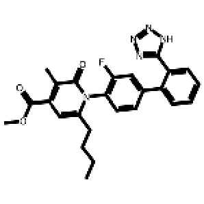 CCCCc1cc(C(=O)OC)c(C)c(=O)n1-c1ccc(-c2ccccc2-c2nnn[nH]2)cc1F